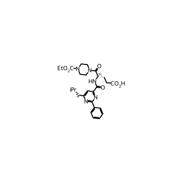 CCOC(=O)N1CCN(C(=O)[C@H](CCC(=O)O)NC(=O)c2cc(SC(C)C)nc(-c3ccccc3)n2)CC1